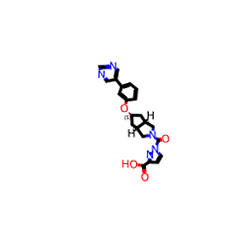 O=C(O)c1ccn(C(=O)N2C[C@H]3C[C@H](Oc4cccc(-c5cncnc5)c4)C[C@H]3C2)n1